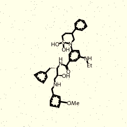 CCNc1cc(C(=O)N[C@@H](Cc2ccccc2)[C@@H](O)CNCc2cccc(OC)c2)cc(N2CC(c3ccccc3)CCS2(O)O)c1